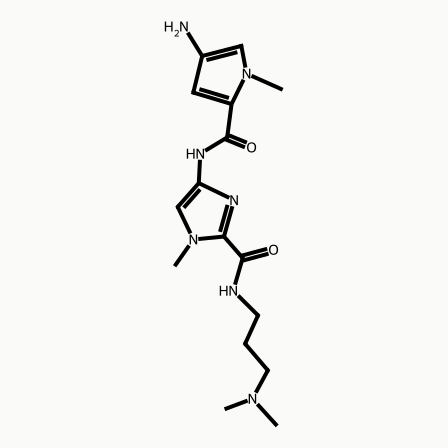 CN(C)CCCNC(=O)c1nc(NC(=O)c2cc(N)cn2C)cn1C